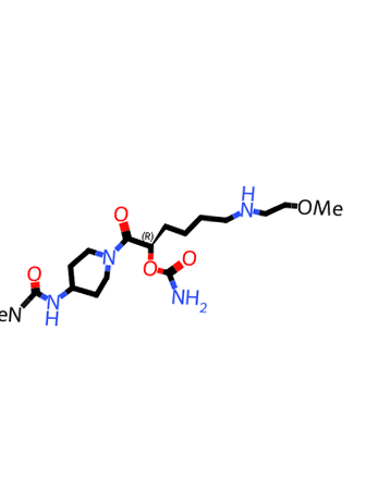 CNC(=O)NC1CCN(C(=O)[C@@H](CCCCNCCOC)OC(N)=O)CC1